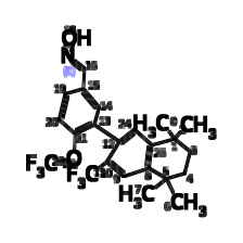 CC1(C)CCC(C)(C)c2cc(C(F)(F)F)c(-c3cc(/C=N/O)ccc3OC(F)(F)F)cc21